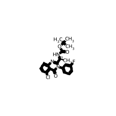 C[C@H](NC(=O)OC(C)(C)C)c1nc2cccc(Cl)c2c(=O)n1-c1cccc(F)c1